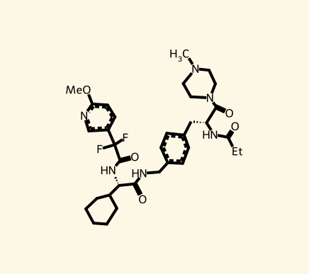 CCC(=O)N[C@H](Cc1ccc(CNC(=O)[C@@H](NC(=O)C(F)(F)c2ccc(OC)nc2)C2CCCCC2)cc1)C(=O)N1CCN(C)CC1